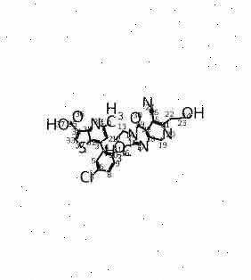 Cc1cc(-c2cc(Cl)ccc2OCCn2c(C)nc3cnc(CCO)c(C#N)c3c2=O)c2scc(C(=O)O)c2n1